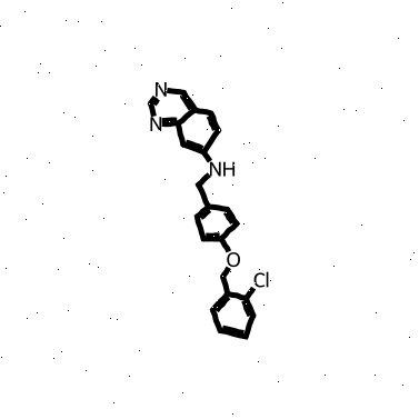 Clc1ccccc1COc1ccc(CNc2ccc3cncnc3c2)cc1